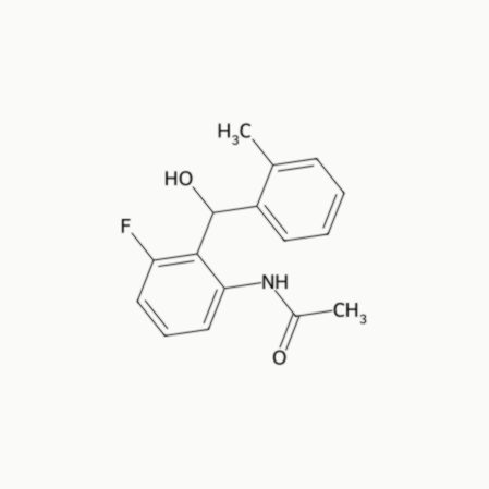 CC(=O)Nc1cccc(F)c1C(O)c1ccccc1C